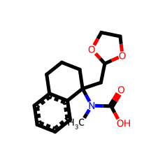 CN(C(=O)O)C1(CC2OCCO2)CCCc2ccccc21